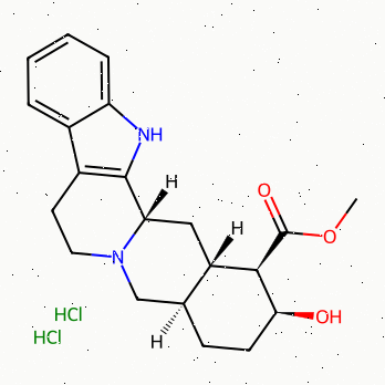 COC(=O)[C@@H]1[C@H]2C[C@H]3c4[nH]c5ccccc5c4CCN3C[C@@H]2CC[C@@H]1O.Cl.Cl